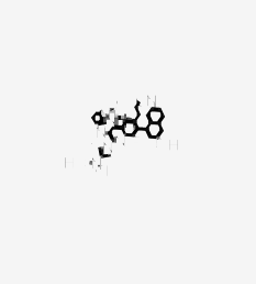 CCCCOC(=O)N1CC2CC1C2Nc1c(N)c(N2CC(N(C)C)C2)nc2c(F)c(-c3cc(O)cc4ccccc34)c(CCC#N)cc12